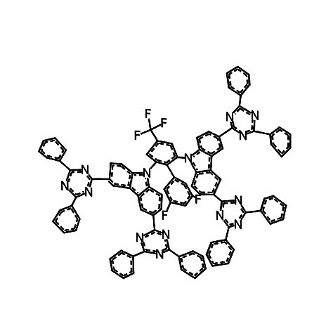 Fc1cc(F)cc(-c2c(-n3c4ccc(-c5nc(-c6ccccc6)nc(-c6ccccc6)n5)cc4c4cc(-c5nc(-c6ccccc6)nc(-c6ccccc6)n5)ccc43)cc(C(F)(F)F)cc2-n2c3ccc(-c4nc(-c5ccccc5)nc(-c5ccccc5)n4)cc3c3cc(-c4nc(-c5ccccc5)nc(-c5ccccc5)n4)ccc32)c1